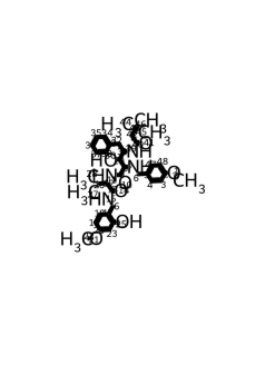 COc1ccc(CNC(C(=O)NC(C(=O)NCc2ccc(OC)cc2O)C(C)C)C(O)C(Cc2ccccc2)NC(=O)[CH]C(C)(C)C)cc1